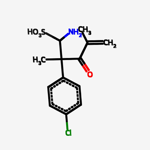 C=C(C)C(=O)C(C)(c1ccc(Cl)cc1)C(N)S(=O)(=O)O